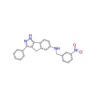 O=[N+]([O-])c1cccc(CNc2ccc3c(c2)Cc2c(-c4ccccc4)n[nH]c2-3)c1